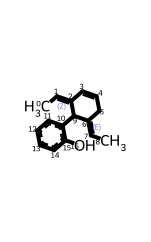 C/C=C1/C=CC/C(=C\C)C1c1ccccc1O